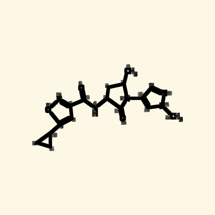 CC1CC(NC(=O)c2cc(C3CC3)on2)C(=O)N1c1cnn(C)c1